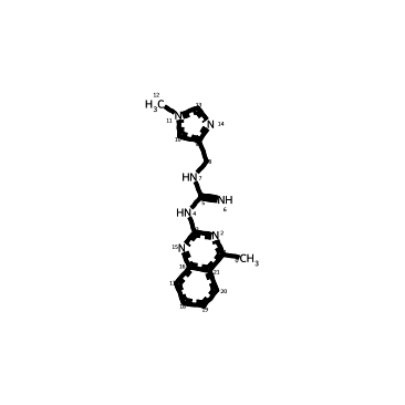 Cc1nc(NC(=N)NCc2cn(C)cn2)nc2ccccc12